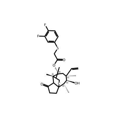 C=C[C@]1(C)C[C@@H](OC(=O)CSc2ccc(F)c(F)c2)[C@]2(C)C(C)CCC3(CCC(=O)C32)[C@@H](C)[C@@H]1O